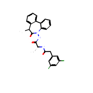 CC1C(=O)N(NC(=O)[C@@H](NC(=O)Cc2cc(F)cc(F)c2)C(C)(C)C)c2ccccc2-c2ccccc21